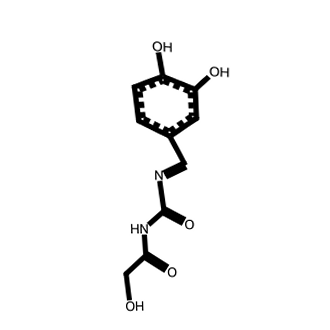 O=C(CO)NC(=O)N=Cc1ccc(O)c(O)c1